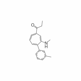 CCC(=O)C1=C=CC=C(c2cccc(C)c2)C(NC)=C1